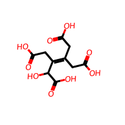 O=C(O)CC(CC(=O)O)=C(CC(=O)O)C(O)C(=O)O